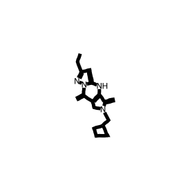 C=C1C2=C(CN1CC1CCC1)C(=C)n1nc(CC)cc1N2